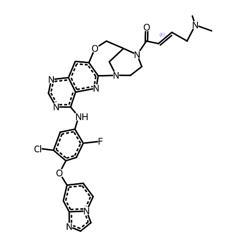 CN(C)C/C=C/C(=O)N1CCN2CC1COc1cc3ncnc(Nc4cc(Cl)c(Oc5ccn6ccnc6c5)cc4F)c3nc12